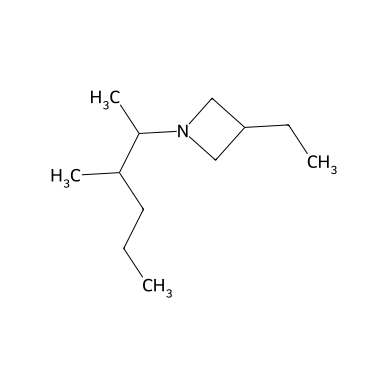 CCCC(C)C(C)N1CC(CC)C1